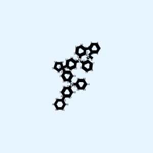 C[Si]1(C)c2ccccc2-c2cccc(N(c3ccccc3)c3ccc(C4(c5ccc(N(c6ccccc6)c6ccc(C7CCCCC7)cc6)cc5)CCCC4)cc3)c21